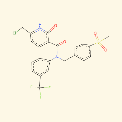 CS(=O)(=O)c1ccc(CN(C(=O)c2ccc(CCl)[nH]c2=O)c2cccc(C(F)(F)F)c2)cc1